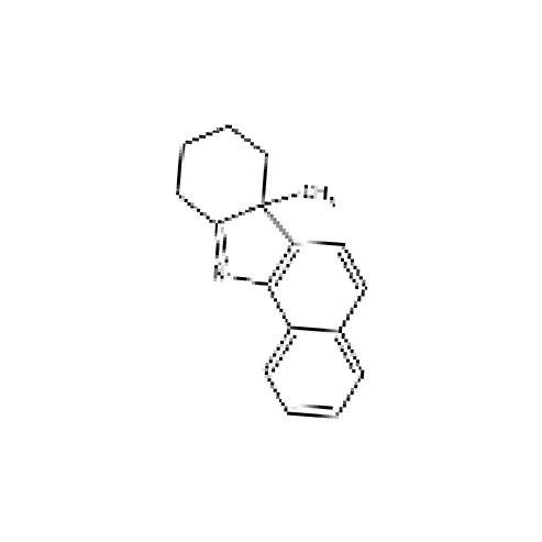 CC12CCCCC1=Nc1c2ccc2ccccc12